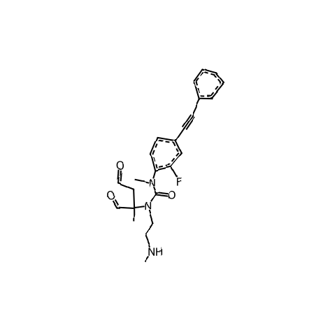 CNCCN(C(=O)N(C)c1ccc(C#Cc2ccccc2)cc1F)C(C)(C=O)CC=O